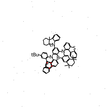 CC(C)(C)c1ccc(N2c3cc(N4c5ccccc5C5(C)CCCCC45C)cc4c3B(c3cc5c(cc3N4c3cccc4sc6ccccc6c34)C(C)(C)CCC5(C)C)c3ccc4c(sc5ccccc54)c32)c(-c2ccccc2)c1